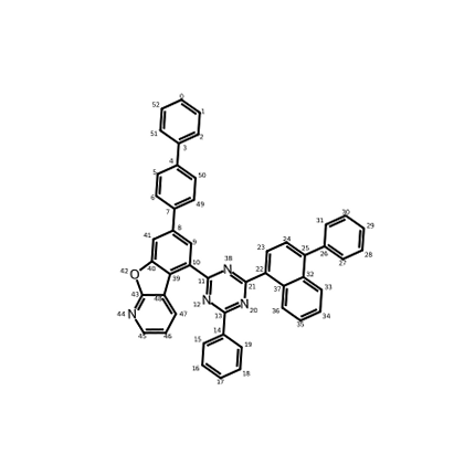 c1ccc(-c2ccc(-c3cc(-c4nc(-c5ccccc5)nc(-c5ccc(-c6ccccc6)c6ccccc56)n4)c4c(c3)oc3ncccc34)cc2)cc1